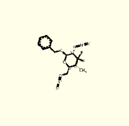 C[C@@H]1[C@@H](CN=[N+]=[N-])OC(OCc2ccccc2)[C@H](N=[N+]=[N-])C1(F)F